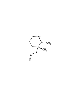 C=CC[C@]1(C)CCCNC1=C